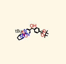 CC(C)(C)OC(=O)N1C2CCC1CN(c1ncc(C(O)c3ccc(B4OC(C)(C)C(C)(C)O4)cc3)cn1)C2